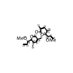 C=C[C@H](OC)[C@H]1O[C@H](O[C@H]2O[C@H]([C@H](C=C)OC)[C@H](C)C=C2C)C(C)=C[C@H]1C